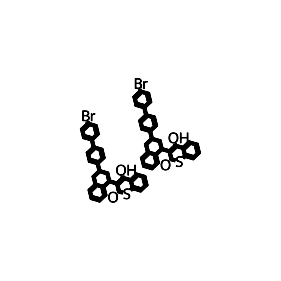 O=c1sc2ccccc2c(O)c1C1CC(c2ccc(-c3ccc(Br)cc3)cc2)Cc2ccccc21.O=c1sc2ccccc2c(O)c1C1CC(c2ccc(-c3ccc(Br)cc3)cc2)Cc2ccccc21